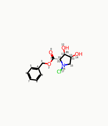 O=C(OCc1ccccc1)[C@@H]1[C@@H](O)[C@@H](O)CN1Cl